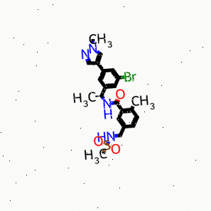 Cc1ccc(CNS(C)(=O)=O)cc1C(=O)N[C@H](C)c1cc(Br)cc(-c2cnn(C)c2)c1